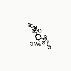 COc1ccc(S(=O)(=O)N=C=O)cc1S(=O)(=O)N=C=O